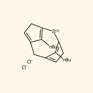 CCCCC1=[C]2CC=C1CC1=CC[C](=C1CCCC)[Zr+2]2.[Cl-].[Cl-]